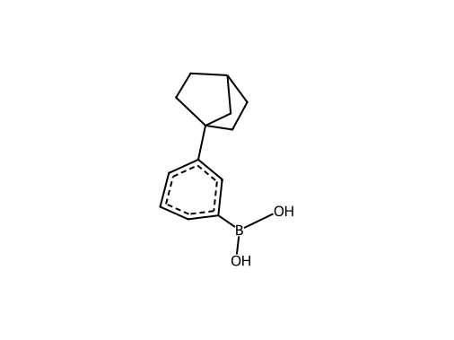 OB(O)c1cccc(C23CCC(CC2)C3)c1